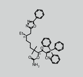 CC[C@H](CCCC(C)(C)[C@H](OC(N)=O)C(=O)C(C#N)=P(c1ccccc1)(c1ccccc1)c1ccccc1)Cc1nnc(-c2ccccc2)o1